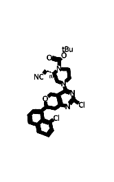 CC(C)(C)OC(=O)N1CCN(c2nc(Cl)nc3c2COC(c2cccc4cccc(Cl)c24)C3)C[C@@H]1CC#N